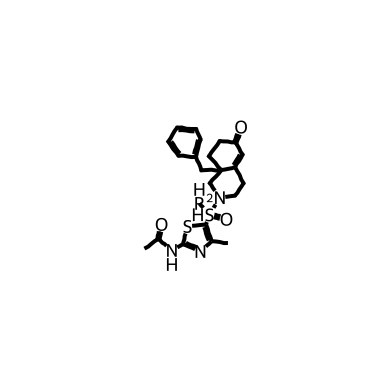 CC(=O)Nc1nc(C)c([SH](=O)(P)N2CCC3=CC(=O)CCC3(Cc3ccccc3)C2)s1